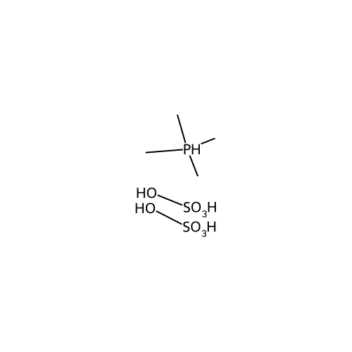 C[PH](C)(C)C.O=S(=O)(O)O.O=S(=O)(O)O